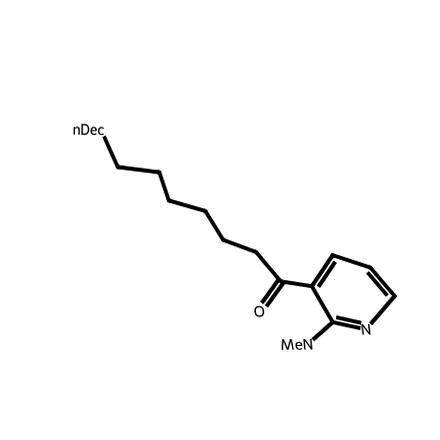 CCCCCCCCCCCCCCCCC(=O)c1cccnc1NC